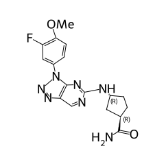 COc1ccc(-n2nnc3cnc(N[C@@H]4CC[C@@H](C(N)=O)C4)nc32)cc1F